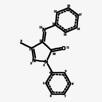 CC1=NN(c2ccccc2)C(=O)C1=Nc1ccccc1